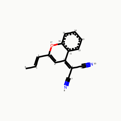 C/C=C/C1=CC(=C(C#N)C#N)c2ccccc2O1